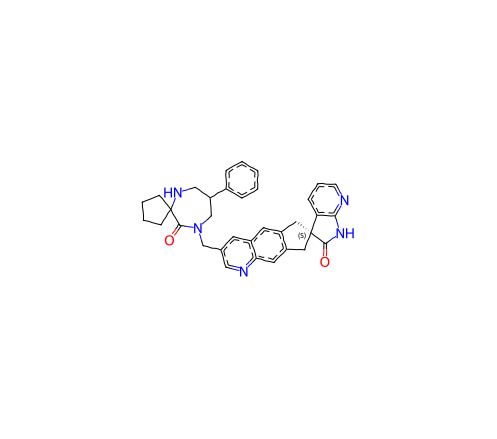 O=C1N(Cc2cnc3cc4c(cc3c2)C[C@@]2(C4)C(=O)Nc3ncccc32)CC(c2ccccc2)CNC12CCCC2